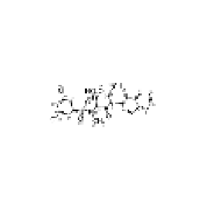 CC(C)[C@@H](C(=O)N(c1ccc2ccccc2c1)[C@@H](C)C(=O)O)N(C)S(=O)(=O)c1cc(Cl)cc(Cl)c1